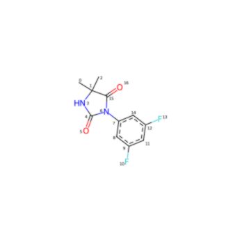 CC1(C)NC(=O)N(c2cc(F)cc(F)c2)C1=O